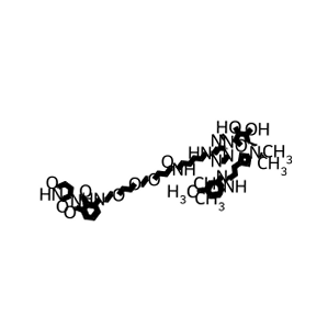 CC(C)N(C[C@H]1O[C@@H](n2cnc3c(NCCCCNC(=O)CCOCCOCCOCCNc4cccc5c4C(=O)N(C4CCC(=O)NC4=O)C5=O)ncnc32)C(O)C1O)C1CC(CCc2nc3cc(C(C)(C)C)ccc3[nH]2)C1